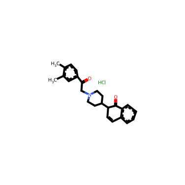 Cc1ccc(C(=O)CN2CCC(C3C=Cc4ccccc4C3=O)CC2)cc1C.Cl